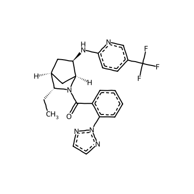 CC[C@@H]1[C@H]2C[C@@H](Nc3ccc(C(F)(F)F)cn3)[C@H](C2)N1C(=O)c1ccccc1-n1nccn1